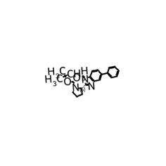 CC(C)(C)OC(=O)N1CCC[C@H]1c1nc2cc(-c3ccccc3)ccc2[nH]1